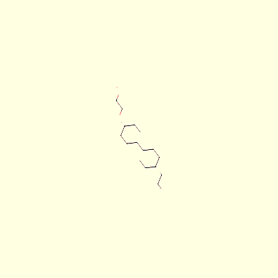 CCC[C@H]1CC[C@H]([C@H]2CC[C@H](OCCOC)CC2)CC1